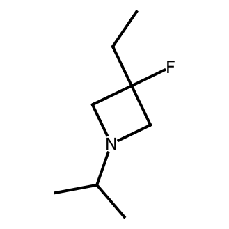 CCC1(F)CN(C(C)C)C1